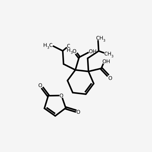 CC(C)CC1(C(=O)O)C=CCCC1(CC(C)C)C(=O)O.O=C1C=CC(=O)O1